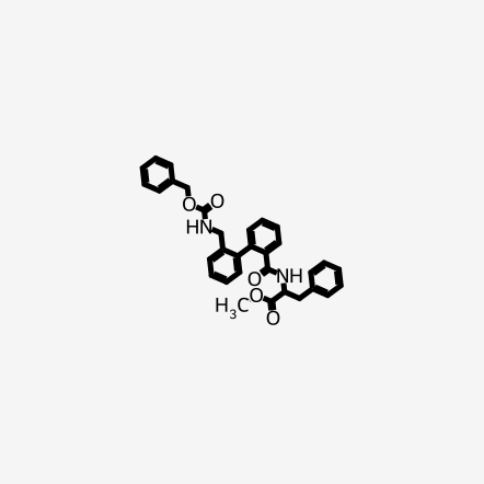 COC(=O)C(Cc1ccccc1)NC(=O)c1ccccc1-c1ccccc1CNC(=O)OCc1ccccc1